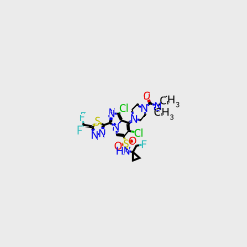 CN(C)C(=O)N1CCN(c2c(Cl)c(S(=O)(=O)NC3(CF)CC3)cn3c(-c4nnc(C(F)F)s4)nc(Cl)c23)CC1